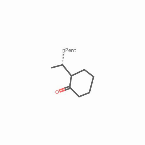 CCCCC[C@@H](C)C1CCCCC1=O